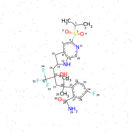 CC(C)S(=O)(=O)c1cc2c(cn1)NC(CC(O)(CC(C)(C)c1ccc(F)cc1C(N)=O)C(F)(F)F)C2